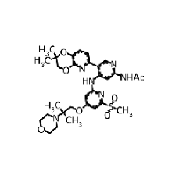 CC(=O)Nc1cc(Nc2cc(OCC(C)(C)N3CCOCC3)cc(S(C)(=O)=O)n2)c(-c2ccc3c(n2)OCC(C)(C)O3)cn1